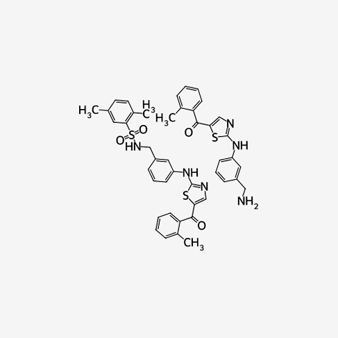 Cc1ccc(C)c(S(=O)(=O)NCc2cccc(Nc3ncc(C(=O)c4ccccc4C)s3)c2)c1.Cc1ccccc1C(=O)c1cnc(Nc2cccc(CN)c2)s1